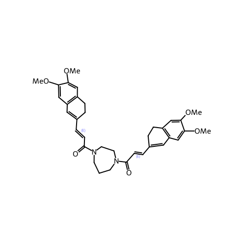 COc1cc2c(cc1OC)CCC(/C=C/C(=O)N1CCCN(C(=O)/C=C/C3=Cc4cc(OC)c(OC)cc4CC3)CC1)=C2